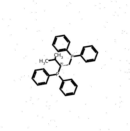 CC(C)[C@H](CP(c1ccccc1)c1ccccc1)P(c1ccccc1)c1ccccc1